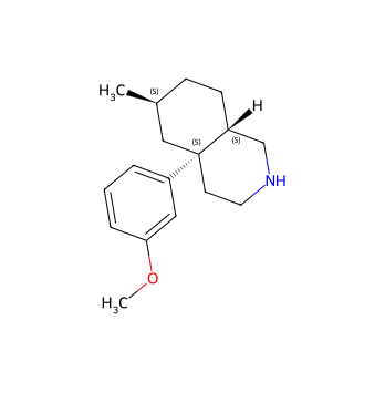 COc1cccc([C@@]23CCNC[C@H]2CC[C@H](C)C3)c1